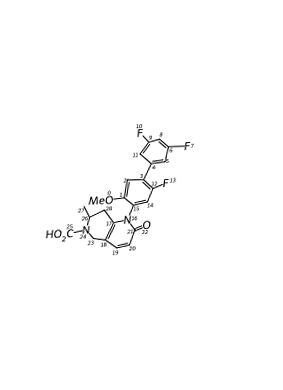 COc1cc(-c2cc(F)cc(F)c2)c(F)cc1-n1c2c(ccc1=O)CN(C(=O)O)C(C)C2